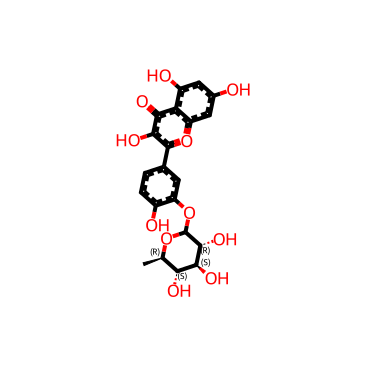 C[C@H]1OC(Oc2cc(-c3oc4cc(O)cc(O)c4c(=O)c3O)ccc2O)[C@H](O)[C@@H](O)[C@@H]1O